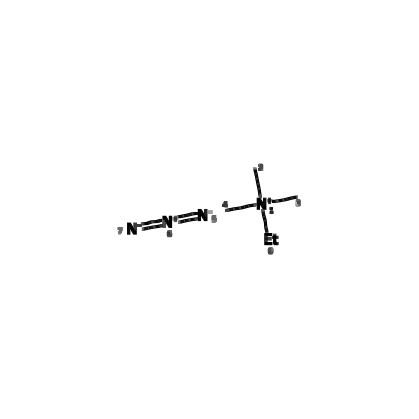 CC[N+](C)(C)C.[N-]=[N+]=[N-]